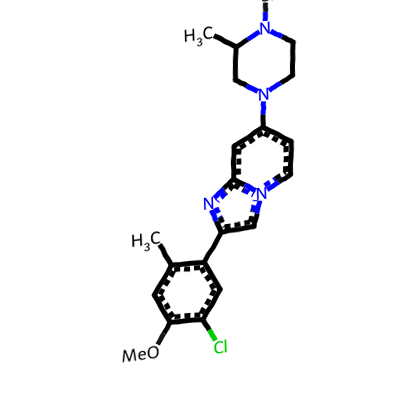 COc1cc(C)c(-c2cn3ccc(N4CCN(SC)C(C)C4)cc3n2)cc1Cl